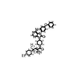 CCN1CCN(C(C)(C)C=C(C#N)C(=O)N2CCC(n3c(=O)n(-c4ccc(Oc5ccccc5)cc4)c4c(N)ncnc43)CC2)CC1